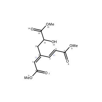 COC(=O)/C=C(\C=C\C(=O)OC)CC(O)C(=O)OC